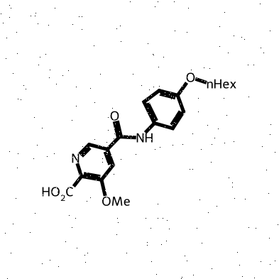 CCCCCCOc1ccc(NC(=O)c2cnc(C(=O)O)c(OC)c2)cc1